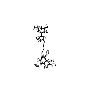 CCCCn1c(=O)n(CCCCc2noc(-c3c[nH]c(=S)n3C)n2)c(=O)c2[nH]c(Cl)nc21